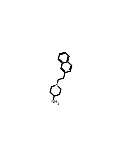 NC1CCN(CCc2ccc3ccccc3c2)CC1